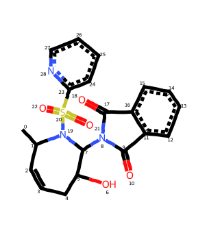 CC1C=CCC(O)C(N2C(=O)c3ccccc3C2=O)N1S(=O)(=O)c1ccccn1